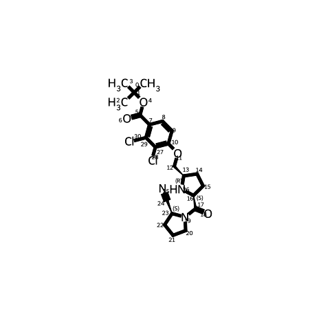 CC(C)(C)OC(=O)c1ccc(OC[C@H]2CC[C@@H](C(=O)N3CCC[C@H]3C#N)N2)c(Cl)c1Cl